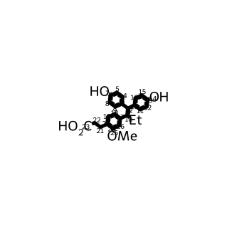 CCC(=C(c1ccc(O)cc1)c1ccc(O)cc1)c1ccc(CCC(=O)O)c(OC)c1